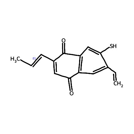 C=Cc1cc2c(cc1S)C(=O)C(/C=C/C)=CC2=O